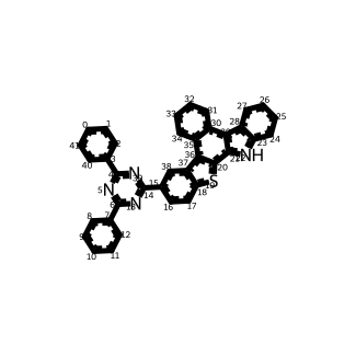 c1ccc(-c2nc(-c3ccccc3)nc(-c3ccc4sc5c6[nH]c7ccccc7c6c6ccccc6c5c4c3)n2)cc1